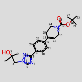 CC(C)(O)Cn1cnc(-c2ccc(C3=CCN(C(=O)OC(C)(C)C)CC3)cc2)n1